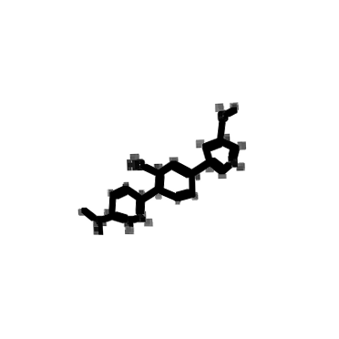 CNc1ccc(-c2ccc(-c3cncc(OC)c3)cc2O)nn1